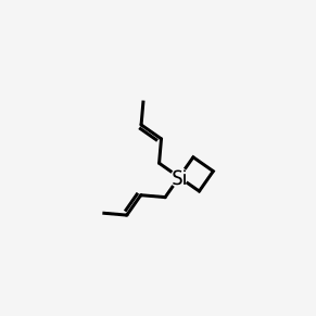 CC=CC[Si]1(CC=CC)CCC1